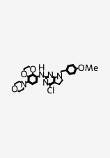 COc1ccc(CN2CCc3c(Cl)nc(Nc4ccc(N5CCOCC5)c5c4OCCO5)nc32)cc1